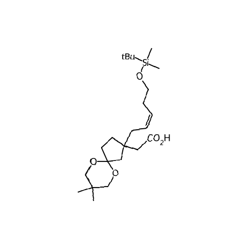 CC1(C)COC2(CCC(C/C=C\CCO[Si](C)(C)C(C)(C)C)(CC(=O)O)C2)OC1